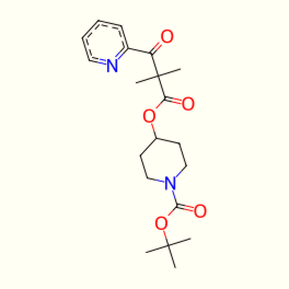 CC(C)(C)OC(=O)N1CCC(OC(=O)C(C)(C)C(=O)c2ccccn2)CC1